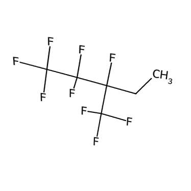 CCC(F)(C(F)(F)F)C(F)(F)C(F)(F)F